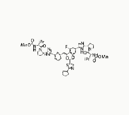 COC(=O)N[C@H](C(=O)N1CCC[C@H]1c1ncc(-c2cccc(/C=C3\OC(c4cnc(C5CCCC5)s4)Oc4cc(-c5cnc([C@@H]6CCCN6C(=O)[C@@H](NC(=O)OC)C(C)C)[nH]5)cc(F)c43)c2)[nH]1)C(C)C